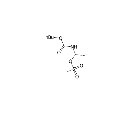 CCCCOC(=O)NC(CC)OS(C)(=O)=O